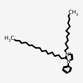 CCCCCCCCCCCCCCCCc1n(-c2ccccc2)cc[n+]1CCCCCCCCCCCC